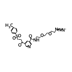 Cc1ccc(S(=O)(=O)CCC(=O)c2cncc(C(=O)NCCOCCOCCN=[N+]=[N-])c2)cc1